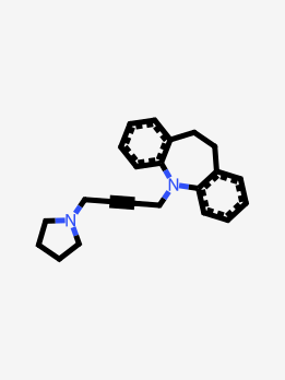 C(#CCN1c2ccccc2CCc2ccccc21)CN1CCCC1